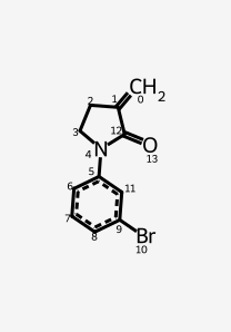 C=C1CCN(c2cccc(Br)c2)C1=O